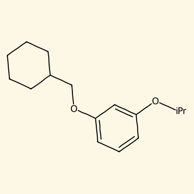 CC(C)Oc1cccc(OCC2CCCCC2)c1